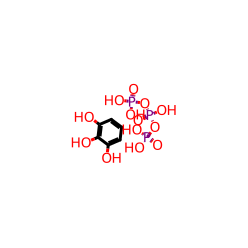 O=P(O)(O)OP(=O)(O)OP(=O)(O)O.Oc1cccc(O)c1O